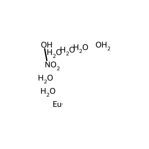 O.O.O.O.O.O.O=[N+]([O-])O.[Eu]